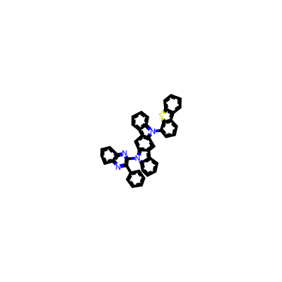 c1ccc(-c2nc3ccccc3nc2-n2c3ccccc3c3cc4c(cc32)c2ccccc2n4-c2cccc3c2sc2ccccc23)cc1